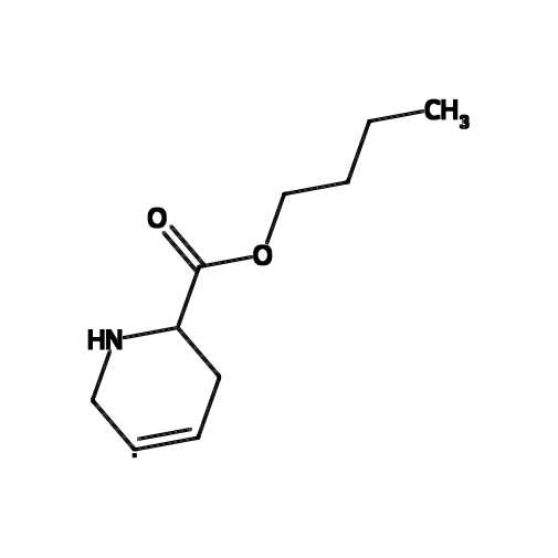 CCCCOC(=O)C1CC=[C]CN1